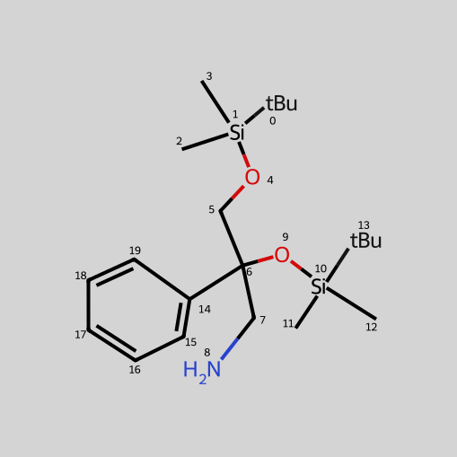 CC(C)(C)[Si](C)(C)OCC(CN)(O[Si](C)(C)C(C)(C)C)c1ccccc1